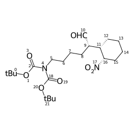 CC(C)(C)OC(=O)N(CCCC[C@H](C=O)[C@@H]1CCCC[C@@H]1[N+](=O)[O-])C(=O)OC(C)(C)C